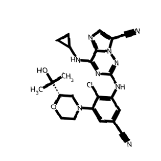 CC(C)(O)[C@@H]1CN(c2cc(C#N)cc(Nc3nc(NC4CC4)c4ncc(C#N)n4n3)c2Cl)CCO1